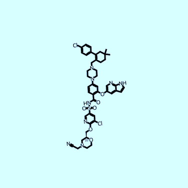 CC1(C)CCC(CN2CCN(c3ccc(C(=O)NS(=O)(=O)c4cnc(OC[C@@H]5CN(CC#N)CCO5)c(Cl)c4)c(Oc4cnc5[nH]ccc5c4)c3)CC2)=C(c2ccc(Cl)cc2)C1